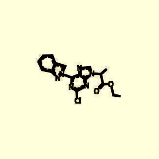 CCOC(=O)C(C)n1cnc2c(-n3cc4ccccc4n3)nc(Cl)nc21